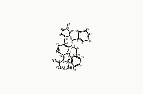 COC(=O)c1c(N)nn2c(N(Cc3ccccc3)Cc3ccccc3)c(-c3ccc(C)cc3)cnc12